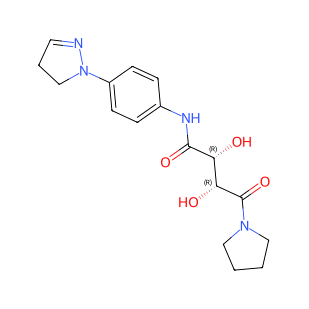 O=C(Nc1ccc(N2CCC=N2)cc1)[C@H](O)[C@@H](O)C(=O)N1CCCC1